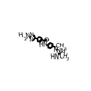 CC(=N)N/N=C(\C)c1ccc(NC(=O)c2ccc(-c3cnc(N)nc3)cc2)cc1